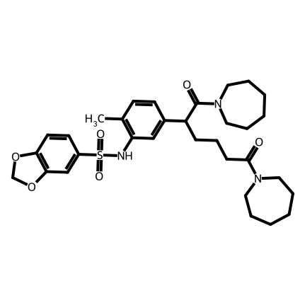 Cc1ccc(C(CCCC(=O)N2CCCCCC2)C(=O)N2CCCCCC2)cc1NS(=O)(=O)c1ccc2c(c1)OCO2